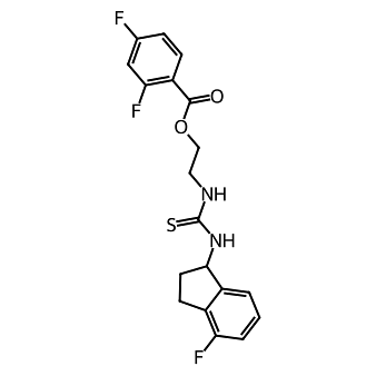 O=C(OCCNC(=S)NC1CCc2c(F)cccc21)c1ccc(F)cc1F